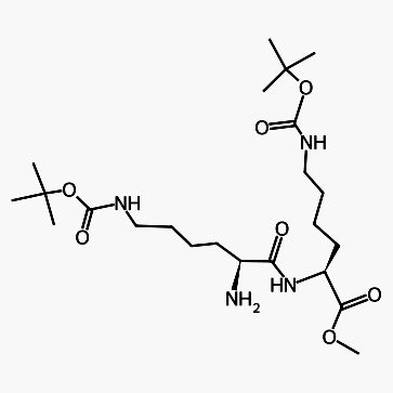 COC(=O)[C@H](CCCCNC(=O)OC(C)(C)C)NC(=O)[C@@H](N)CCCCNC(=O)OC(C)(C)C